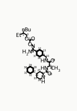 CCCCC(CC)COC(=O)O/N=C(\N)c1ccc(CNC(=O)[C@H](C)NC(=O)[C@H]2C[C@@H](c3ccccc3)CCN2)cc1